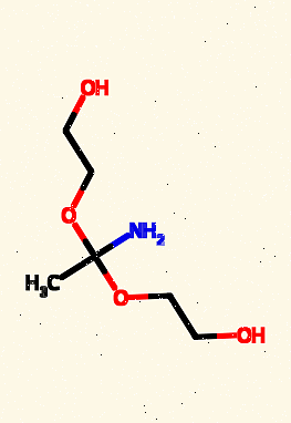 CC(N)(OCCO)OCCO